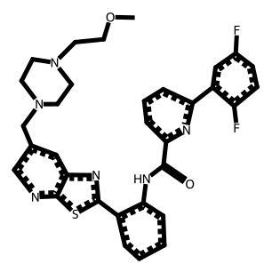 COCCN1CCN(Cc2cnc3sc(-c4ccccc4NC(=O)c4cccc(-c5cc(F)ccc5F)n4)nc3c2)CC1